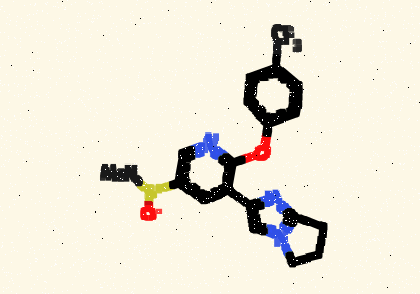 CN[S+]([O-])c1cnc(Oc2ccc(C(F)(F)F)cc2)c(-c2cn3c(n2)CCC3)c1